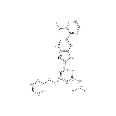 COc1ccccc1-c1cnc2[nH]c(-c3cc(OCc4ccccc4)cc(OC(C)C)c3)nc2c1